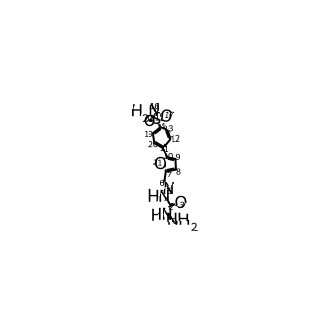 NNC(=O)N/N=C/c1ccc(-c2ccc(S(N)(=O)=O)cc2)o1